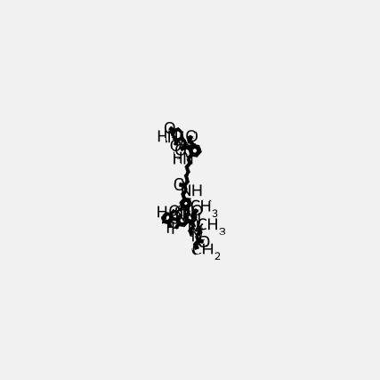 C=CC(=O)N1CCN(c2nc(=O)n(-c3c(C)cc(CNC(=O)CCCCCNc4cccc5c4C(=O)N(C4CCC(=O)NC4=O)C5=O)cc3C)c3nc(-c4c(O)cccc4F)c(F)cc23)[C@@H](C)C1